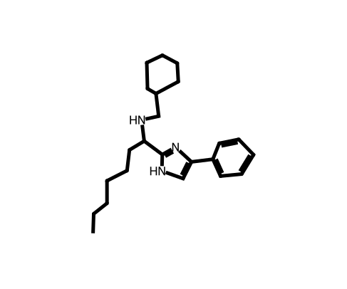 CCCCCCC(NCC1CCCCC1)c1nc(-c2ccccc2)c[nH]1